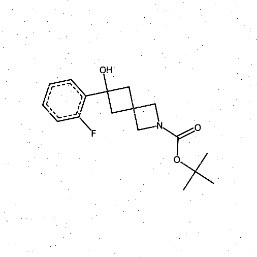 CC(C)(C)OC(=O)N1CC2(C1)CC(O)(c1ccccc1F)C2